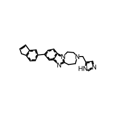 C1=Cc2cc(-c3ccc4c(c3)nc3n4CCN(Cc4cnc[nH]4)CC3)ccc2C1